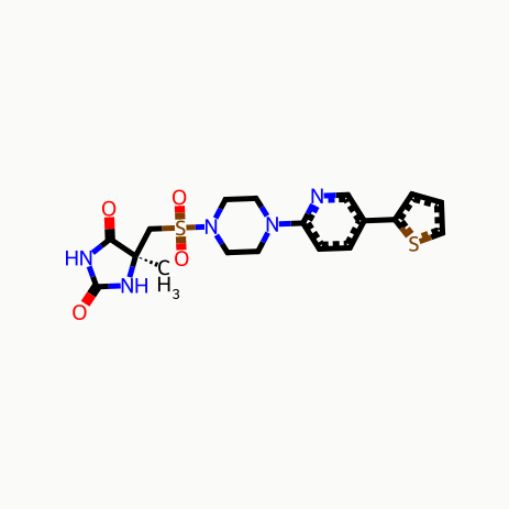 C[C@]1(CS(=O)(=O)N2CCN(c3ccc(-c4cccs4)cn3)CC2)NC(=O)NC1=O